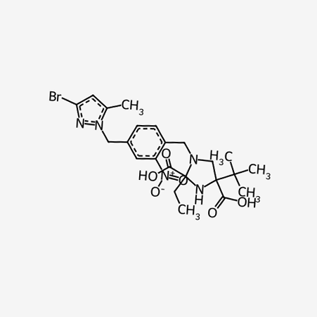 CCC1(C(=O)O)NC(C(=O)O)(C(C)(C)C)CN1Cc1ccc(Cn2nc(Br)cc2C)cc1[N+](=O)[O-]